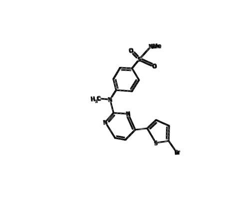 CNS(=O)(=O)c1ccc(N(C)c2nccc(-c3ccc(Br)s3)n2)cc1